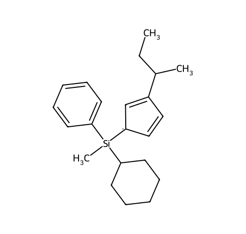 CCC(C)C1=C[C]([Si](C)(c2ccccc2)C2CCCCC2)C=C1